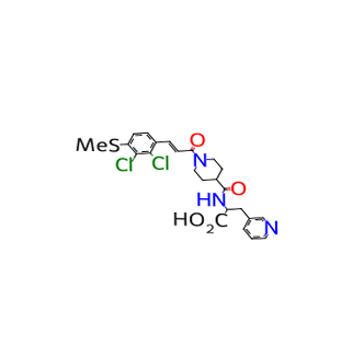 CSc1ccc(C=CC(=O)N2CCC(C(=O)NC(Cc3cccnc3)C(=O)O)CC2)c(Cl)c1Cl